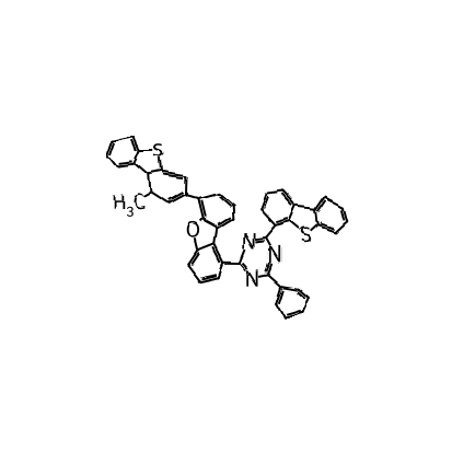 CC1C=C(c2cccc3c2oc2cccc(-c4nc(-c5ccccc5)nc(-c5cccc6c5sc5ccccc56)n4)c23)C=C2Sc3ccccc3C21